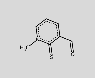 Cn1cccc(C=O)c1=S